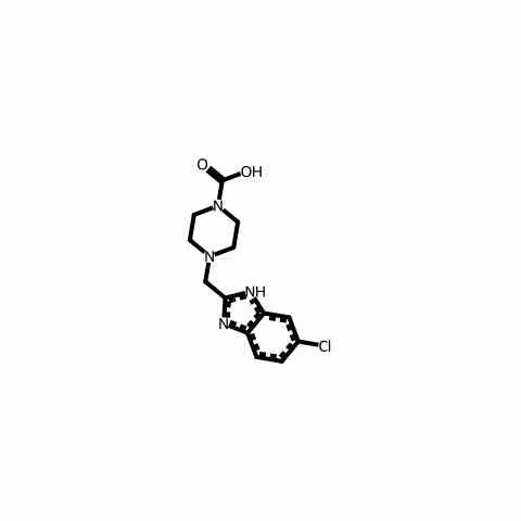 O=C(O)N1CCN(Cc2nc3ccc(Cl)cc3[nH]2)CC1